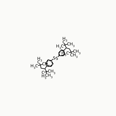 CC(C)(C)CC(c1ccc(SSc2ccc(C(CC(C)(C)C)C(C)(C)C)cc2)cc1)C(C)(C)C